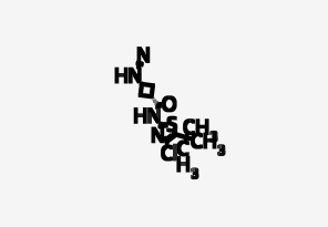 CC(C)(C)c1sc(NC(=O)[C@H]2C[C@H](NC#N)C2)nc1Cl